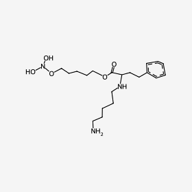 NCCCCCNC(CCc1ccccc1)C(=O)OCCCCCON(O)O